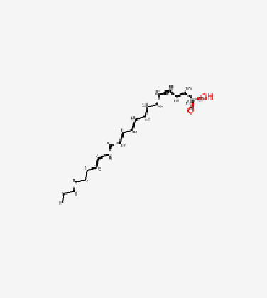 CCCCCCC=CCCCCCCCCC/C=C\C=CC(=O)O